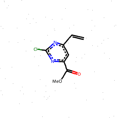 C=Cc1cc(C(=O)OC)nc(Cl)n1